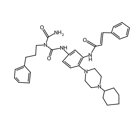 NC(=O)N(CCCc1ccccc1)C(=O)Nc1ccc(N2CCN(C3CCCCC3)CC2)c(NC(=O)C=Cc2ccccc2)c1